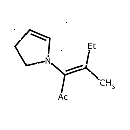 CC/C(C)=C(/C(C)=O)N1C=CCC1